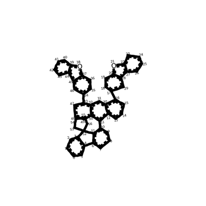 c1ccc2c(c1)-c1cccc(-c3c4cccc(-c5ccc6oc7ccccc7c6c5)c4cc4c(-c5ccc6oc7ccccc7c6c5)cccc34)c1C21CCCC1